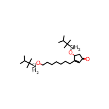 CC(C)C(C)(C)[SiH2]OCCCCCCCC1=CC(=O)C[C@@H]1O[SiH2]C(C)(C)C(C)C